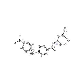 C=N/C(=C\N(C)c1ccc(Nc2ccc(N(C)C)cc2)cc1)CN(CC)CC